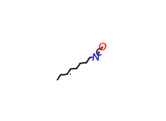 CC[CH]CCCCCN=C=O